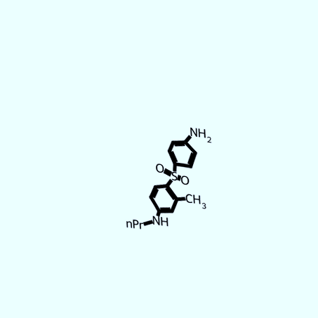 CCCNc1ccc(S(=O)(=O)c2ccc(N)cc2)c(C)c1